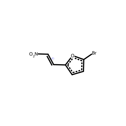 O=[N+]([O-])/C=C/c1ccc(Br)o1